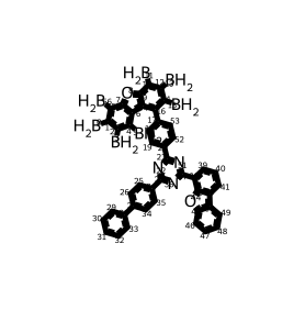 Bc1c(B)c(B)c2c(oc3c(B)c(B)c(B)c(-c4ccc(-c5nc(-c6ccc(-c7ccccc7)cc6)nc(-c6cccc7c6oc6ccccc67)n5)cc4)c32)c1B